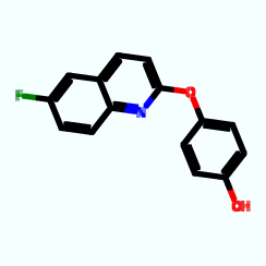 Oc1ccc(Oc2ccc3cc(F)ccc3n2)cc1